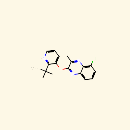 COC(C)(C)c1ncccc1Oc1nc2cccc(Cl)c2nc1C